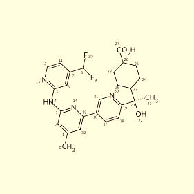 Cc1cc(Nc2cc(C(F)F)ccn2)nc(-c2ccc([C@](C)(O)C3CCC(C(=O)O)CC3)nc2)c1